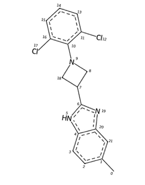 Cc1ccc2[nH]c(C3CN(c4c(Cl)cccc4Cl)C3)nc2c1